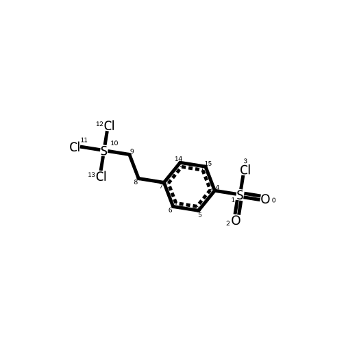 O=S(=O)(Cl)c1ccc(CCS(Cl)(Cl)Cl)cc1